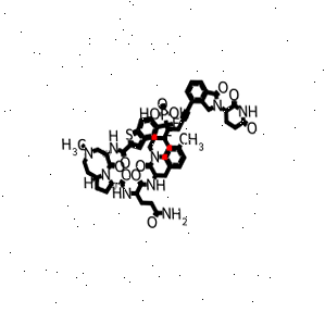 Cc1ccc(CC(NC(=O)C(CCC(N)=O)NC(=O)[C@@H]2CC[C@@H]3CCN(C)C[C@H](NC(=O)c4cc5cc(C(F)(F)P(=O)(O)O)ccc5s4)C(=O)N32)C(=O)N2CCC(CCC#Cc3cccc4c3CN(C3CCC(=O)NC3=O)C4=O)CC2)cc1